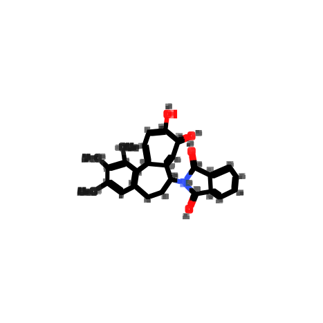 COc1cc2c(c(OC)c1OC)-c1ccc(O)c(=O)cc1C(N1C(=O)c3ccccc3C1=O)CC2